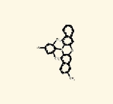 Cc1ccc2cc3c(cc2c1)Oc1cc2ccccc2cc1N3c1c(C)cc(C(C)(C)C)cc1C